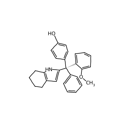 COc1ccccc1[C@@](c1ccccc1)(c1ccc(O)cc1)c1cc2c([nH]1)CCCC2